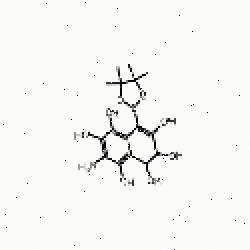 Bc1c(O)c(O)c2c(c1O)C(O)C(O)C(O)=C2B1OC(C)(C)C(C)(C)O1